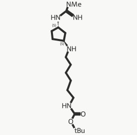 CNC(=N)N[C@H]1CC[C@H](NCCCCCCNC(=O)OC(C)(C)C)C1